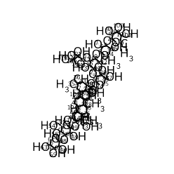 C[C@@H]1O[C@@H](O[C@@H]2[C@@H](O)[C@H](O[C@@H]3[C@@H](O[C@@H]4OC[C@](O)(CO)[C@H]4O)[C@@H](O)[C@H](O[C@H]4[C@H](OC(=O)[C@]56CCC(C)(C)C[C@H]5C5=CC[C@@H]7[C@@]8(C)C[C@H](O)[C@H](O[C@@H]9O[C@H](CO)[C@@H](O)[C@H](O[C@@H]%10OC[C@@H](O)[C@H](O)[C@H]%10O)[C@H]9O)[C@@](C)(CO)[C@@H]8CC[C@@]7(C)[C@]5(C)C[C@H]6O)OC[C@H](O)[C@@H]4O)O[C@H]3C)OC[C@H]2O)[C@H](O)[C@H](O)[C@H]1O